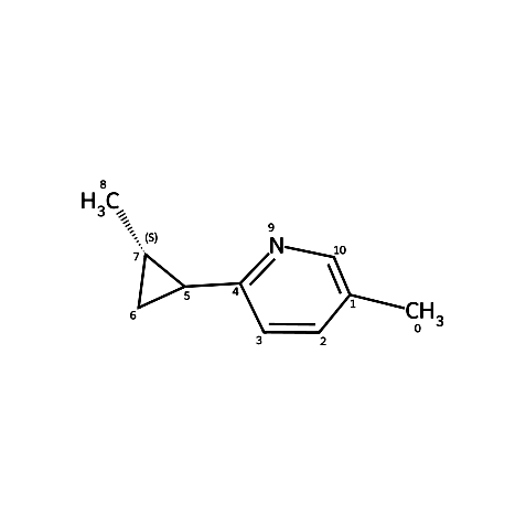 Cc1ccc(C2C[C@@H]2C)nc1